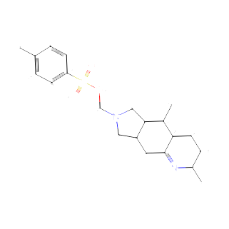 Cc1ccc(S(=O)(=O)OCN2CC3CC4=NC(C)CCC4C(C)C3C2)cc1